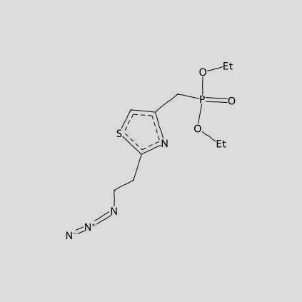 CCOP(=O)(Cc1csc(CCN=[N+]=[N-])n1)OCC